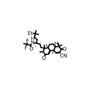 CCC(C)(C)CC[C@@](C)(CCC1(C)C(C)C(=O)C=C2[C@@]3(C)C=C(C#N)C(=O)C(C)(C)[C@@H]3CC[C@]21C)NC(=O)C(C)(F)F